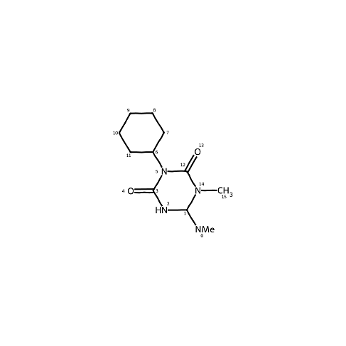 CNC1NC(=O)N(C2CCCCC2)C(=O)N1C